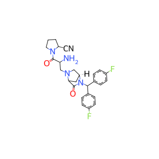 N#CC1CCCN1C(=O)C(N)CN1C[C@@H]2CC1C(=O)N2C(c1ccc(F)cc1)c1ccc(F)cc1